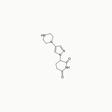 O=C1CCC(n2cc(N3CCNCC3)cn2)C(=O)N1